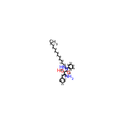 CCCCCCCCCCCCCNN(C(=O)C(O)[C@H](N)CC1CCCCC1)c1ccccc1